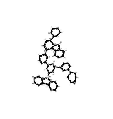 c1ccc(-c2cccc(-c3nc(-c4cccc(-c5ccc(-c6ccccc6)c6oc7ccccc7c56)c4)nc(-n4c5ccccc5c5ccccc54)n3)c2)cc1